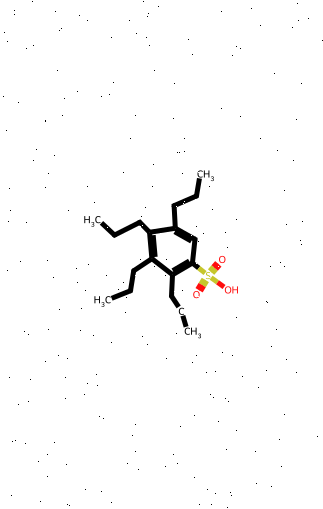 CCCc1cc(S(=O)(=O)O)c(CCC)c(CCC)c1CCC